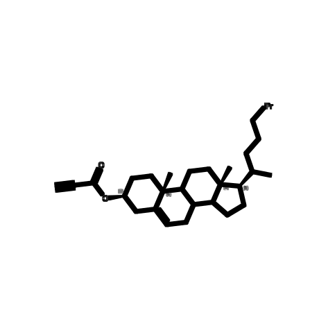 C#CC(=O)O[C@H]1CC[C@@]2(C)C(=CCC3C2CC[C@@]2(C)C3CC[C@@H]2C(C)CCCC(C)C)C1